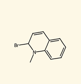 CN1c2ccccc2C=CC1Br